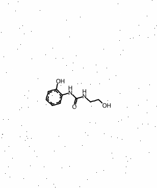 O=C(NCCO)Nc1ccccc1O